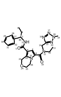 CC[C@@H](NC(=O)c1cc(C(=O)N(CC)Cc2nnn(C)n2)n2c1COCC2)c1ccccc1